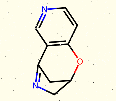 c1cc2c(cn1)C1=NCC(C1)O2